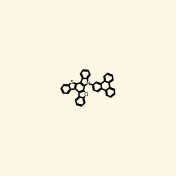 c1ccc2c(c1)oc1c2c2c3ccccc3sc2c2c3ccccc3n(-c3ccc4c5ccccc5c5ccccc5c4c3)c12